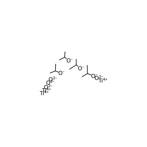 CC(C)[O-].CC(C)[O-].CC(C)[O-].CC(C)[O-].[O-2].[O-2].[O-2].[O-2].[Ti+4].[Ti+4].[Ti+4]